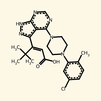 Cc1ccc(Cl)cc1N1CCN(c2ncnc3[nH]nc(/C(=C/C(=O)O)C(C)(C)C)c23)CC1